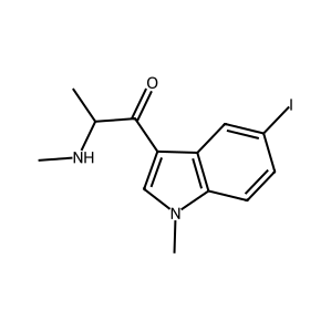 CNC(C)C(=O)c1cn(C)c2ccc(I)cc12